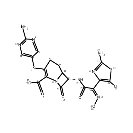 Nc1ncc(SC2=C(C(=O)O)N3C(=O)[C@@H](NC(=O)/C(=N\O)c4nc(N)sc4Cl)C3CC2)cn1